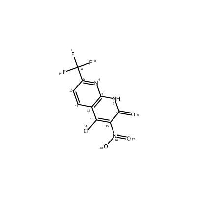 O=c1[nH]c2nc(C(F)(F)F)ccc2c(Cl)c1[N+](=O)[O-]